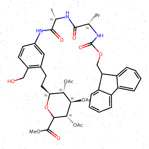 COC(=O)C1O[C@@H](CCc2cc(NC(=O)[C@H](C)NC(=O)[C@@H](NC(=O)OCC3c4ccccc4-c4ccccc43)C(C)C)ccc2CO)[C@H](OC(C)=O)[C@@H](OC(C)=O)[C@@H]1OC(C)=O